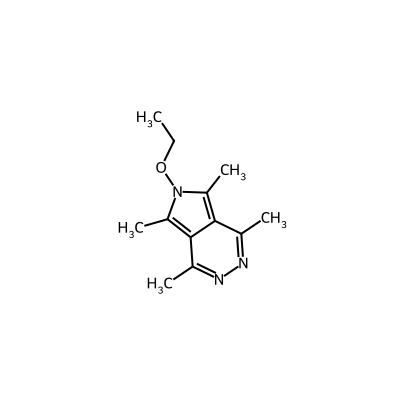 CCOn1c(C)c2c(C)nnc(C)c2c1C